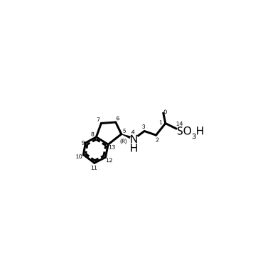 CC(CCN[C@@H]1CCc2ccccc21)S(=O)(=O)O